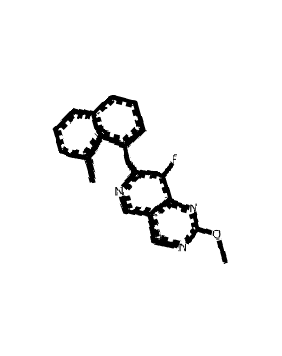 COc1ncc2cnc(-c3cccc4cccc(C)c34)c(F)c2n1